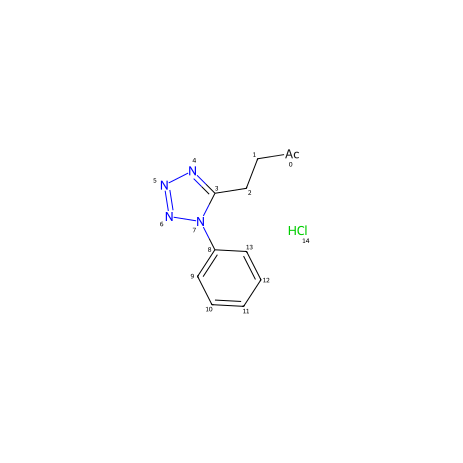 CC(=O)CCc1nnnn1-c1ccccc1.Cl